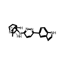 C[C@@H]1[C@@H](Nc2ccc(-c3ccc4[nH]ccc4c3)nn2)C2CCN1CC2